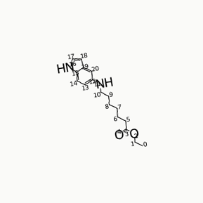 CCOC(=O)CCCCCCNc1ccc2[nH]ccc2c1